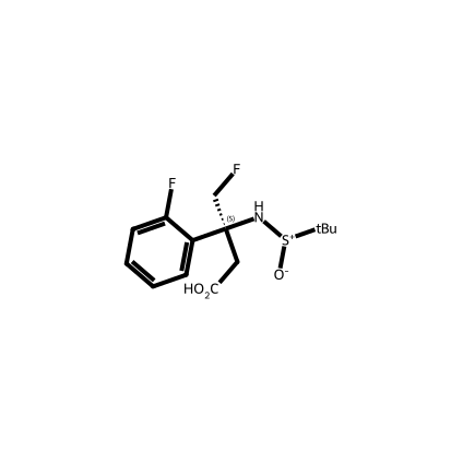 CC(C)(C)[S+]([O-])N[C@@](CF)(CC(=O)O)c1ccccc1F